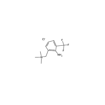 C[N+](C)(C)Cc1cccc(C(F)(F)F)c1N.[Cl-]